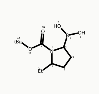 CCC1CCC(B(O)O)N1C(=O)OC(C)(C)C